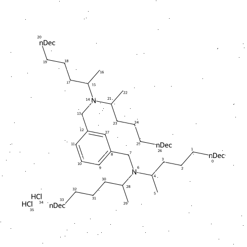 CCCCCCCCCCCCCC(C)N(Cc1cccc(CN(C(C)CCCCCCCCCCCCC)C(C)CCCCCCCCCCCCC)c1)C(C)CCCCCCCCCCCCC.Cl.Cl